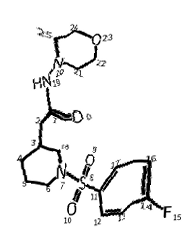 O=C(CC1CCCN(S(=O)(=O)c2ccc(F)cc2)C1)NN1CCOCC1